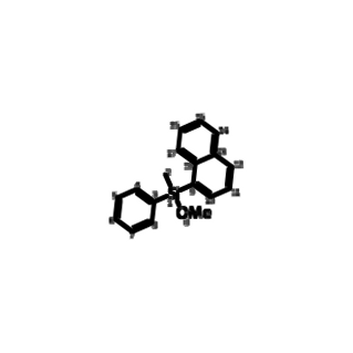 CO[Si](C)(c1ccccc1)c1cccc2ccccc12